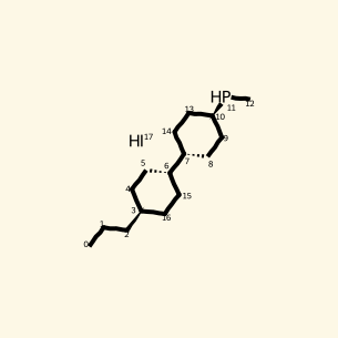 CCC[C@H]1CC[C@H]([C@H]2CC[C@H](PC)CC2)CC1.I